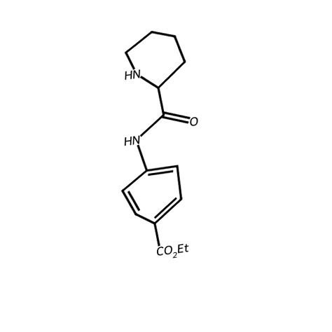 CCOC(=O)c1ccc(NC(=O)C2CCCCN2)cc1